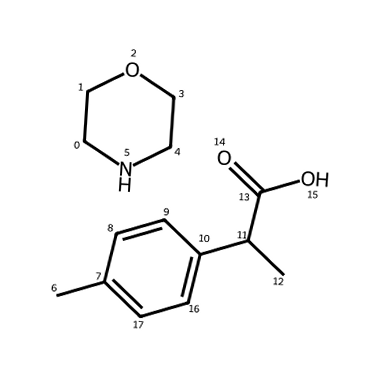 C1COCCN1.Cc1ccc(C(C)C(=O)O)cc1